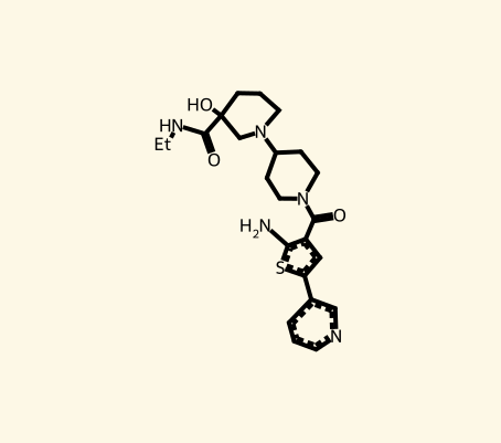 CCNC(=O)C1(O)CCCN(C2CCN(C(=O)c3cc(-c4cccnc4)sc3N)CC2)C1